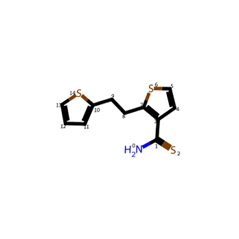 NC(=S)c1ccsc1CCc1cccs1